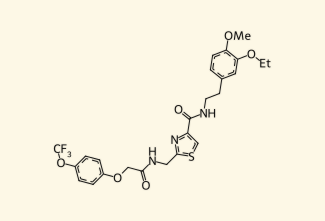 CCOc1cc(CCNC(=O)c2csc(CNC(=O)COc3ccc(OC(F)(F)F)cc3)n2)ccc1OC